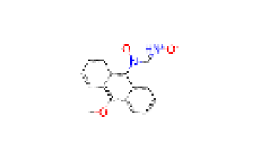 COc1c2ccccc2c(N([O])C=[NH+][O-])c2ccccc12